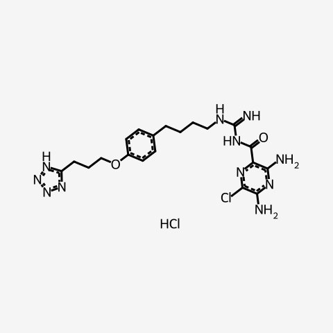 Cl.N=C(NCCCCc1ccc(OCCCc2nnn[nH]2)cc1)NC(=O)c1nc(Cl)c(N)nc1N